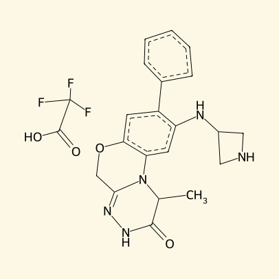 CC1C(=O)NN=C2COc3cc(-c4ccccc4)c(NC4CNC4)cc3N21.O=C(O)C(F)(F)F